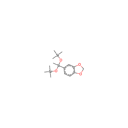 C[Si](C)(C)O[Si](C)(O[Si](C)(C)C)c1ccc2c(c1)OCO2